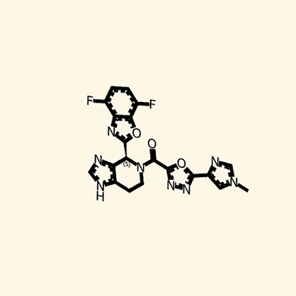 Cn1cnc(-c2nnc(C(=O)N3CCc4[nH]cnc4[C@H]3c3nc4c(F)ccc(F)c4o3)o2)c1